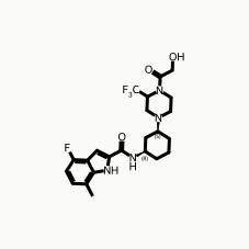 Cc1ccc(F)c2cc(C(=O)N[C@@H]3CCC[C@H](N4CCN(C(=O)CO)C(C(F)(F)F)C4)C3)[nH]c12